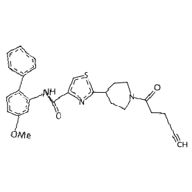 C#CCCC(=O)N1CCC(c2nc(C(=O)Nc3cc(OC)ccc3-c3ccccc3)cs2)CC1